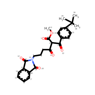 COC(=O)C(C(=O)CCCN1C(=O)c2ccccc2C1=O)C(=O)c1ccc(C(C)(C)C)cc1